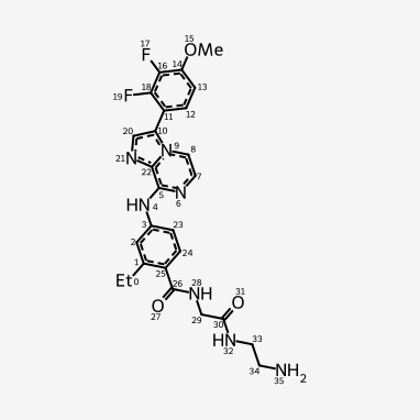 CCc1cc(Nc2nccn3c(-c4ccc(OC)c(F)c4F)cnc23)ccc1C(=O)NCC(=O)NCCN